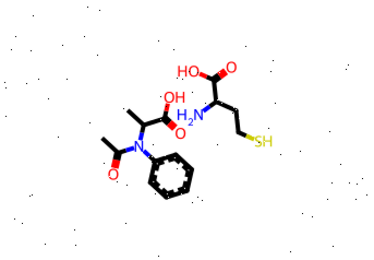 CC(=O)N(c1ccccc1)C(C)C(=O)O.NC(CCS)C(=O)O